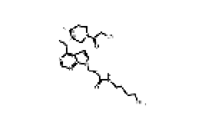 C[C@@H]1CCN(C(=O)CC#N)C[C@@H]1N(C)c1ncnc2c1ccn2COC(=O)NCCCCN